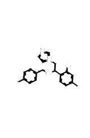 Cc1ccc(C(Cn2ccnc2)OCc2ccc(Cl)cc2)c(Cl)c1